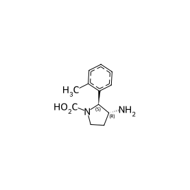 Cc1ccccc1[C@H]1[C@H](N)CCN1C(=O)O